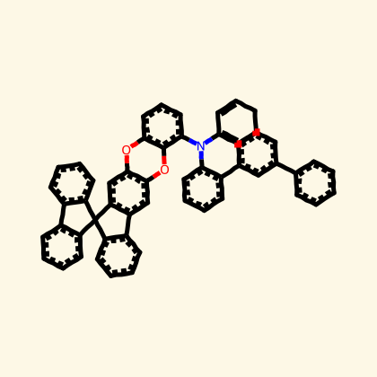 C1=CC(N(c2ccccc2-c2cccc(-c3ccccc3)c2)c2cccc3c2Oc2cc4c(cc2O3)C2(c3ccccc3-c3ccccc32)c2ccccc2-4)=CCC1